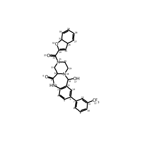 O=C1Nc2ccc(-c3cccc(C(F)(F)F)c3)cc2C(O)N2CCN(C(=O)C3=CC4C=CC=CC4O3)CC12